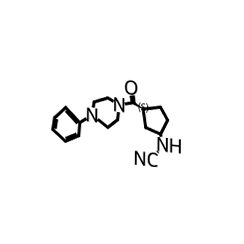 N#CNC1CC[C@H](C(=O)N2CCN(c3ccccc3)CC2)C1